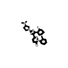 Cc1ccccc1-n1nc(-c2sc(N3CCC(N(C)C)C3)nc2-c2ccccc2F)ccc1=O